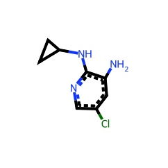 Nc1cc(Cl)cnc1NC1CC1